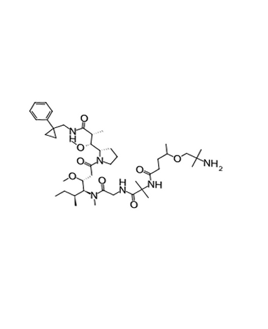 CC[C@H](C)[C@@H]([C@@H](CC(=O)N1CCC[C@H]1[C@H](OC)[C@@H](C)C(=O)NCC1(c2ccccc2)CC1)OC)N(C)C(=O)CNC(=O)C(C)(C)NC(=O)CCC(C)OCC(C)(C)N